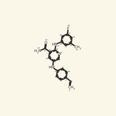 C=Cc1ccc(Nc2cnc(Nc3cc(C)cc(F)c3)c(C(N)=O)c2)cc1